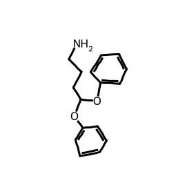 NCCCC(Oc1ccccc1)Oc1ccccc1